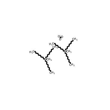 CCCCCCCCC[N+](C)(CCCCCCCCC)CCCCCCCCC.CCCCCCCCC[N+](C)(CCCCCCCCC)CCCCCCCCC.O=C([O-])[O-]